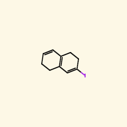 IC1=CC2=C(C=CCC2)CC1